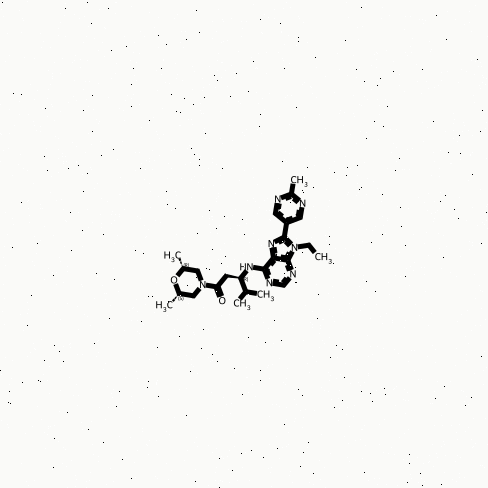 CCn1c(-c2cnc(C)nc2)nc2c(N[C@H](CC(=O)N3C[C@@H](C)O[C@@H](C)C3)C(C)C)ncnc21